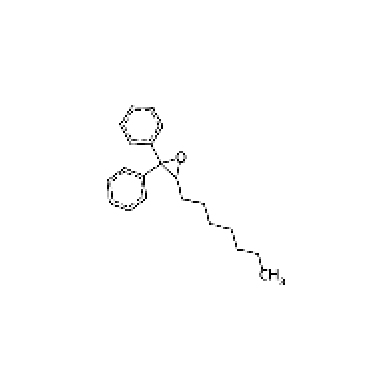 CCCCCCCC1OC1(c1ccccc1)c1ccccc1